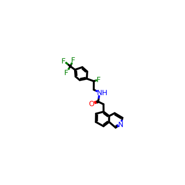 O=C(Cc1cccc2cnccc12)NCC(F)c1ccc(C(F)(F)F)cc1